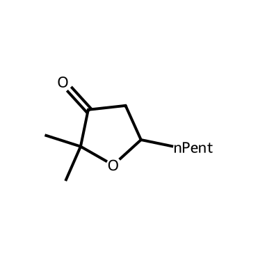 CCCCCC1CC(=O)C(C)(C)O1